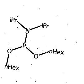 CCCCCCOP(OCCCCCC)N(C(C)C)C(C)C